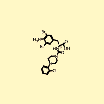 Nc1c(Br)cc(C[C@H](NC(=O)N2CCN(c3ccccc3Cl)CC2)C(=O)O)cc1Br